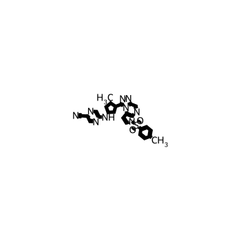 Cc1ccc(S(=O)(=O)n2ccc3c2ncc2nnc(C4C[C@@H](Nc5cnc(C#N)cn5)C[C@H]4C)n23)cc1